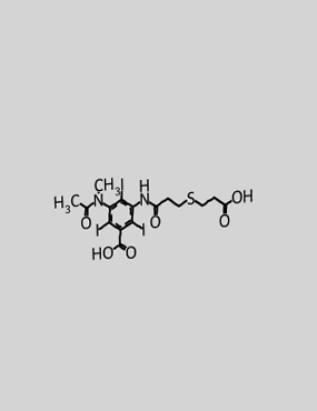 CC(=O)N(C)c1c(I)c(NC(=O)CCSCCC(=O)O)c(I)c(C(=O)O)c1I